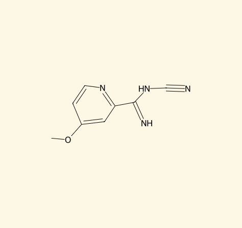 COc1ccnc(C(=N)NC#N)c1